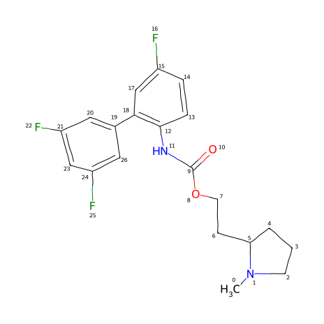 CN1CCCC1CCOC(=O)Nc1ccc(F)cc1-c1cc(F)cc(F)c1